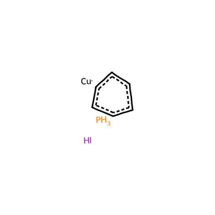 I.P.[Cu].c1ccccc1